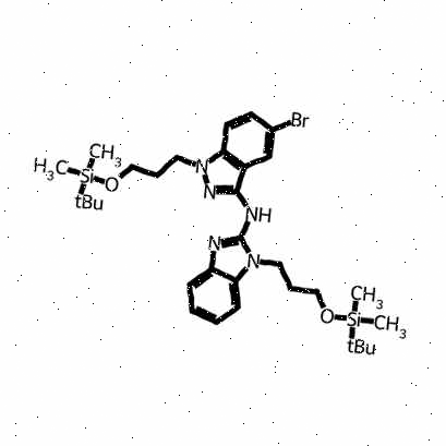 CC(C)(C)[Si](C)(C)OCCCn1nc(Nc2nc3ccccc3n2CCCO[Si](C)(C)C(C)(C)C)c2cc(Br)ccc21